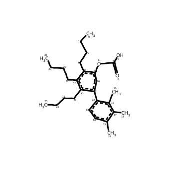 CCCCc1c(OC(=O)O)cc(-c2ccc(C)c(C)c2C)c(CCCC)c1CCCC